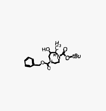 C[C@@H]1C(O)CN(C(=O)OCc2ccccc2)CCN1C(=O)OC(C)(C)C